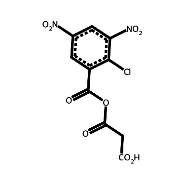 O=C(O)CC(=O)OC(=O)c1cc([N+](=O)[O-])cc([N+](=O)[O-])c1Cl